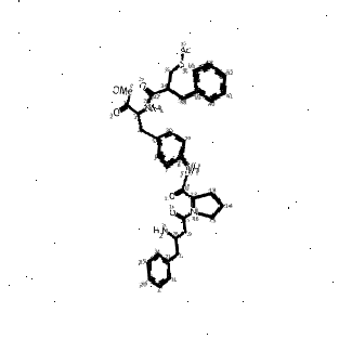 COC(=O)C(Cc1ccc(NC(=O)C2CCCN2C(=O)CC(N)Cc2ccccc2)cc1)NC(=O)C(CSC(C)=O)Cc1ccccc1